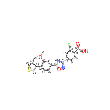 COc1cc(-c2nc(-c3ccc(C(=O)O)c(F)c3)no2)ccc1-c1cscc1C